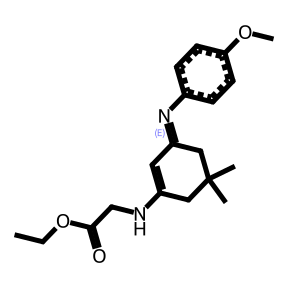 CCOC(=O)CNC1=C/C(=N/c2ccc(OC)cc2)CC(C)(C)C1